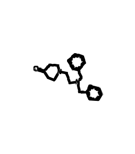 O=C1CCN(CCN(Cc2ccccc2)Cc2ccccc2)CC1